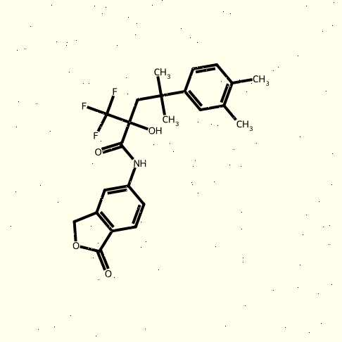 Cc1ccc(C(C)(C)CC(O)(C(=O)Nc2ccc3c(c2)COC3=O)C(F)(F)F)cc1C